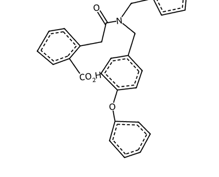 O=C(O)c1ccccc1CC(=O)N(Cc1ccccc1)Cc1ccc(Oc2ccccc2)cc1